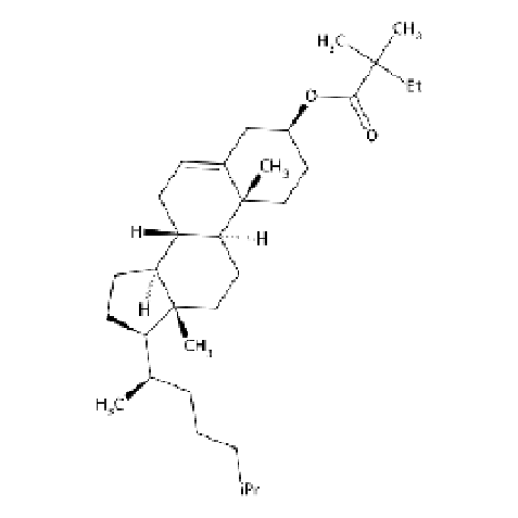 CCC(C)(C)C(=O)O[C@H]1CC[C@@]2(C)C(=CC[C@H]3[C@@H]4CC[C@H]([C@H](C)CCCC(C)C)[C@@]4(C)CC[C@@H]32)C1